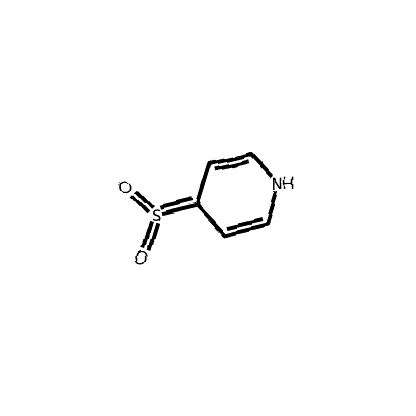 O=S(=O)=c1cc[nH]cc1